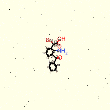 Nc1c(C(=O)c2ccccc2)cccc1C(Br)C(=O)O